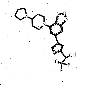 OC(c1cc(-c2cc(N3CCC(N4CCCC4)CC3)c3nonc3c2)cs1)C(F)(F)F